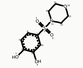 O=S(=O)(c1ccc(O)c(O)c1)N1CCOCC1